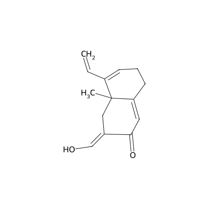 C=CC1=CCCC2=CC(=O)C(=CO)CC12C